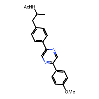 COc1ccc(-c2cnc(-c3ccc(CC(C)NC(C)=O)cc3)cn2)cc1